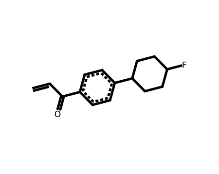 C=CC(=O)c1ccc(C2CCC(F)CC2)cc1